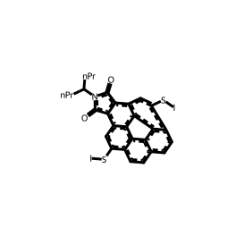 CCCC(CCC)n1c(=O)c2c3cc(SI)c4ccc5ccc6c(SI)cc(c2c1=O)c1c6c5c4c31